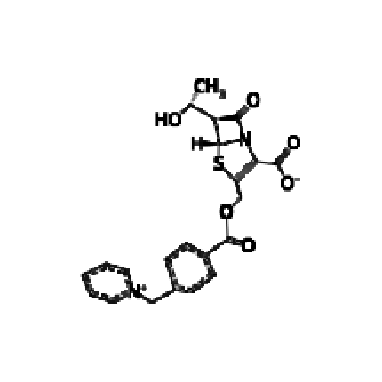 C[C@@H](O)[C@H]1C(=O)N2C(C(=O)[O-])=C(COC(=O)c3ccc(C[n+]4ccccc4)cc3)S[C@H]12